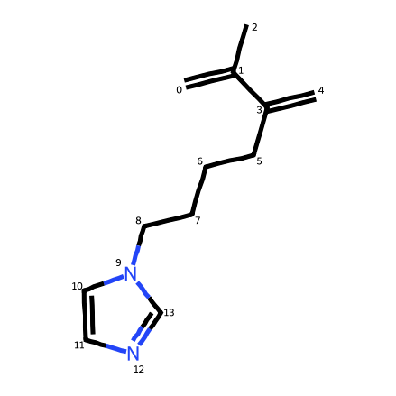 C=C(C)C(=C)CCCCn1ccnc1